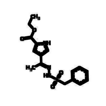 CCOC(=O)c1cc(/C(C)=N/NS(=O)(=O)Cc2ccccc2)c[nH]1